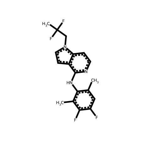 Cc1cc(F)c(F)c(C)c1Nc1nccc2c1ccn2CC(C)(F)F